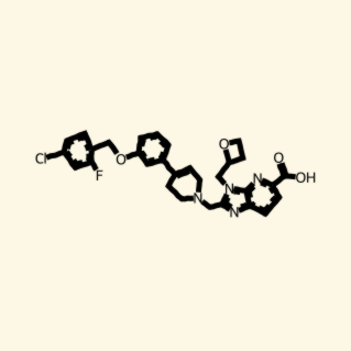 O=C(O)c1ccc2nc(CN3CC=C(c4cccc(OCc5ccc(Cl)cc5F)c4)CC3)n(CC3CCO3)c2n1